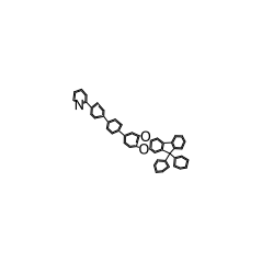 c1ccc(C2(c3ccccc3)c3ccccc3-c3cc4c(cc32)Oc2ccc(-c3ccc(-c5ccc(-c6ccccn6)cc5)cc3)cc2O4)cc1